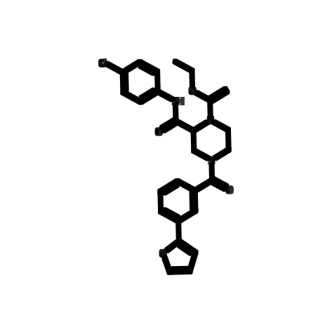 C=C(OCC)N1CCN(C(=O)c2cccc(-c3ccco3)c2)CC1C(=O)Nc1ccc(Cl)cc1